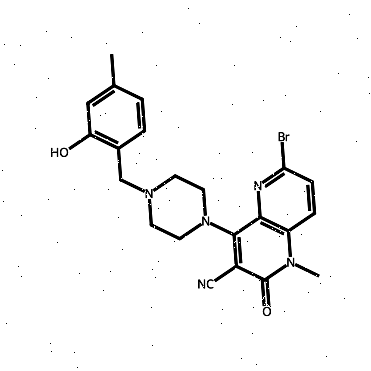 Cc1ccc(CN2CCN(c3c(C#N)c(=O)n(C)c4ccc(Br)nc34)CC2)c(O)c1